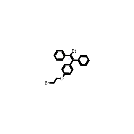 CC/C(=C(\c1ccccc1)c1ccc(OCCBr)cc1)c1ccccc1